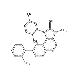 Cc1ccccc1-c1ccc2ncc3c(c2c1)n(-c1cc(C#N)ccc1C)c(=N)n3C